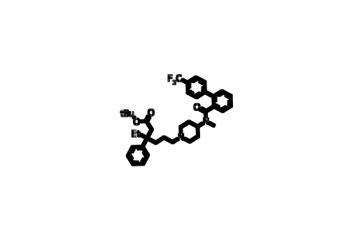 CCC(CCCN1CCC(N(C)C(=O)c2ccccc2-c2ccc(C(F)(F)F)cc2)CC1)(CC(=O)OC(C)(C)C)c1ccccc1